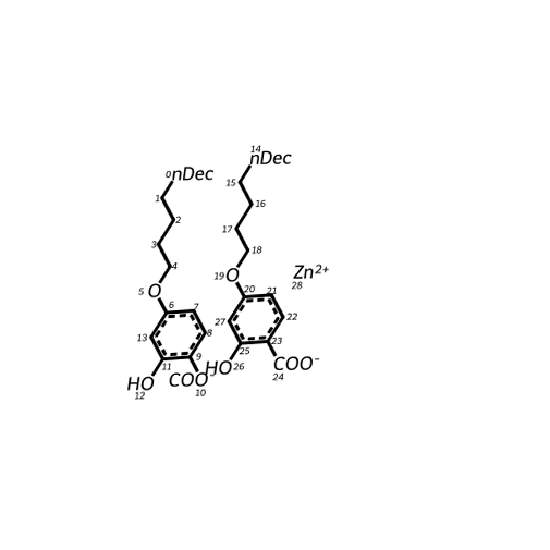 CCCCCCCCCCCCCCOc1ccc(C(=O)[O-])c(O)c1.CCCCCCCCCCCCCCOc1ccc(C(=O)[O-])c(O)c1.[Zn+2]